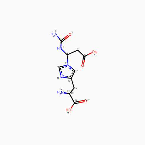 NC(=O)NC(CC(=O)O)n1cnc(C[C@H](N)C(=O)O)c1